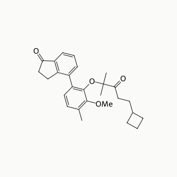 COc1c(C)ccc(-c2cccc3c2CCC3=O)c1OC(C)(C)C(=O)CCC1CCC1